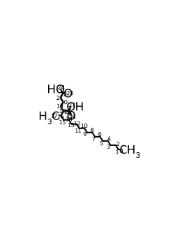 CCCCCCCCCCCCCCCCC(C)C(CCCC(=O)O)C(=O)O